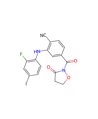 N#Cc1ccc(C(=O)N2OCCC2=O)cc1Nc1ccc(I)cc1F